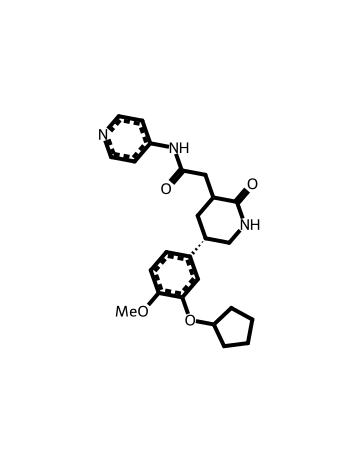 COc1ccc([C@H]2CNC(=O)C(CC(=O)Nc3ccncc3)C2)cc1OC1CCCC1